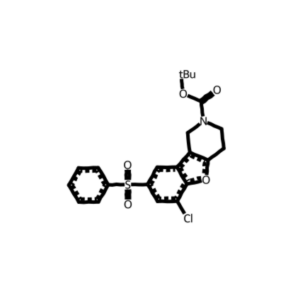 CC(C)(C)OC(=O)N1CCc2oc3c(Cl)cc(S(=O)(=O)c4ccccc4)cc3c2C1